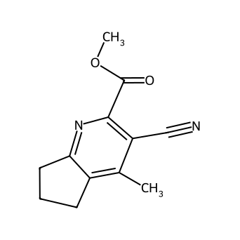 COC(=O)c1nc2c(c(C)c1C#N)CCC2